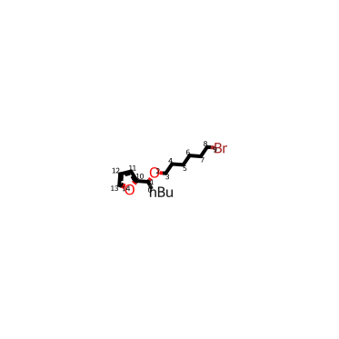 CCCCC(OCCCCCCBr)c1ccco1